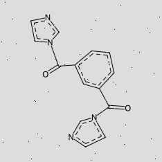 O=C(c1cccc(C(=O)n2ccnc2)c1)n1ccnc1